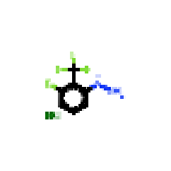 Cl.NNc1cccc(F)c1C(F)(F)F